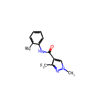 CCC(C)c1ccccc1NC(=O)c1cn(C)nc1C(F)(F)F